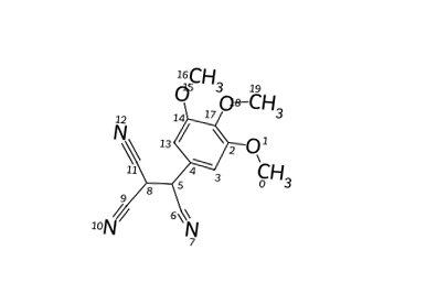 COc1cc(C(C#N)C(C#N)C#N)cc(OC)c1OC